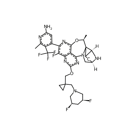 Cc1nc(N)cc(-c2nc3c4c(nc(OCC5(CN6C[C@H](F)C[C@H](F)C6)CC5)nc4c2F)N2C[C@H]4CC5[C@H](N4)C52[C@H](C)O3)c1C(F)(F)F